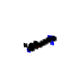 CC1(C)c2cc(C#N)ccc2-c2ccc(-c3cccc4c3oc3ccc(-c5ccc(-c6ccc(-c7ccc(C(=N)NC8C=CC=CN8)cc7)cc6)cc5)cc34)cc21